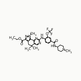 CCOC(=O)c1nn(C)c2c1CC(C)(C)c1cnc(Nc3ccc(C(=O)NC4CCN(C)CC4)cc3OC(F)(F)F)nc1-2